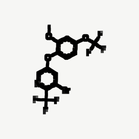 COc1cc(OC(F)(F)F)ccc1Oc1cnc(C(F)(F)F)c(Br)c1